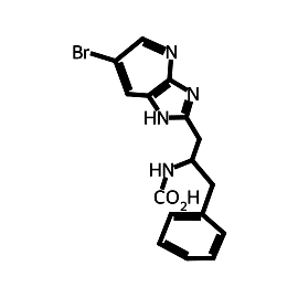 O=C(O)NC(Cc1ccccc1)Cc1nc2ncc(Br)cc2[nH]1